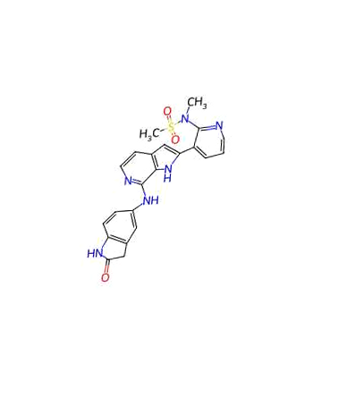 CN(c1ncccc1-c1cc2ccnc(Nc3ccc4c(c3)CC(=O)N4)c2[nH]1)S(C)(=O)=O